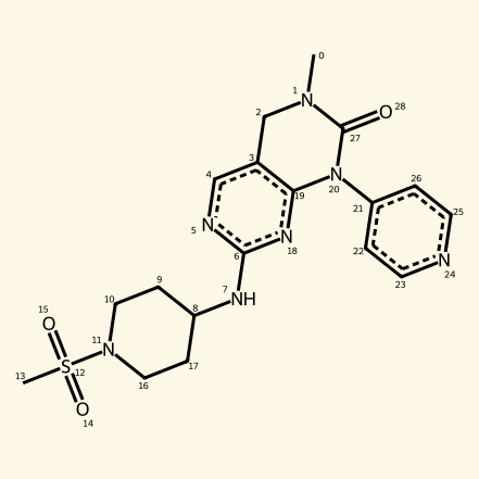 CN1Cc2cnc(NC3CCN(S(C)(=O)=O)CC3)nc2N(c2ccncc2)C1=O